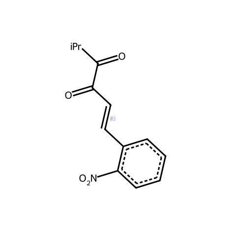 CC(C)C(=O)C(=O)/C=C/c1ccccc1[N+](=O)[O-]